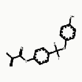 C=C(C)C(=O)Oc1ccc(C(F)(F)Oc2ccc(O)cc2)cc1